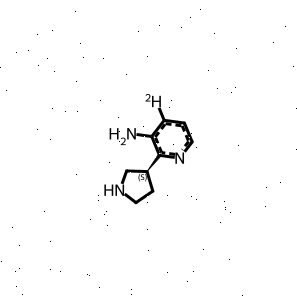 [2H]c1ccnc([C@H]2CCNC2)c1N